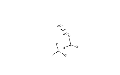 [O-]P([S-])[S-].[O-]P([S-])[S-].[Zn+2].[Zn+2].[Zn+2]